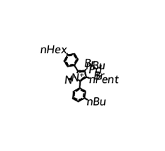 CCCCCCc1ccc(C2=C(CCCC)C(CCCCC)=C(c3cccc(CCCC)c3)[N+]2=[N-])cc1.[Br][Pd][Br]